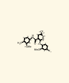 COc1cc(F)ccc1Oc1nnc(C(F)(F)F)cc1C(=O)Nc1ccc(C)c(SC)c1